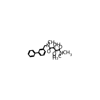 CN(C)C(=O)[C@H](O)[C@@H](O)C(=O)N(C)Cc1cccc(-c2ccccc2)c1